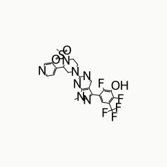 Cn1nc(-c2cc(C(F)(F)F)c(F)c(O)c2F)c2cnc(N3CCN(S(C)(=O)=O)C(c4ccncc4)C3)nc21